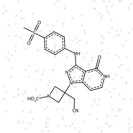 CS(=O)(=O)c1ccc(Nc2nn(C3(CC#N)CN(C(=O)O)C3)c3cc[nH]c(=O)c23)cc1